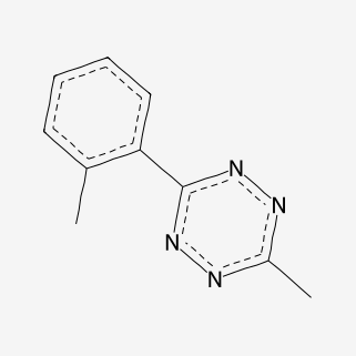 Cc1nnc(-c2ccccc2C)nn1